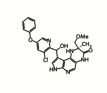 COC[C@]1(C)Nc2c(cnc3[nH]cc(C(O)c4ncc(Oc5ccccc5)cc4Cl)c23)NC1=O